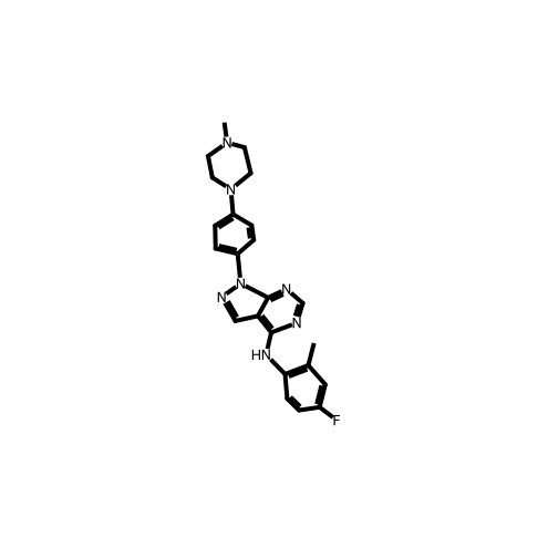 Cc1cc(F)ccc1Nc1ncnc2c1cnn2-c1ccc(N2CCN(C)CC2)cc1